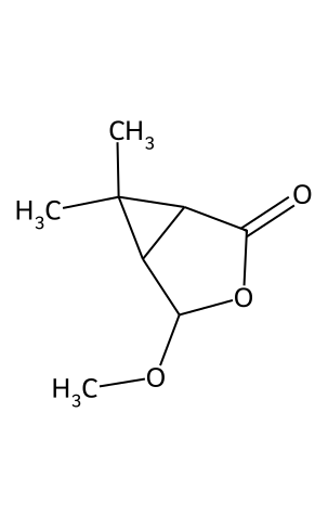 COC1OC(=O)C2C1C2(C)C